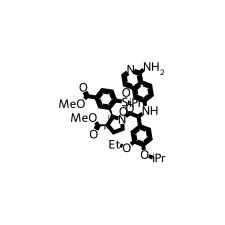 CCOc1cc(C(Nc2ccc3c(N)nccc3c2)C(=O)N2CC[C@@H](C(=O)OC)[C@H]2c2cc(C(=O)OC)ccc2S(=O)(=O)C(C)C)ccc1OC(C)C